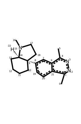 Cc1nnc(C)c2cc([C@]34CCCC[C@H]3N(C)CC4)ccc12